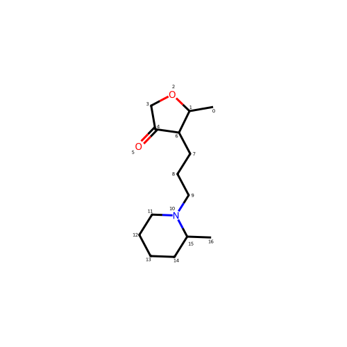 CC1OCC(=O)C1CCCN1CCCCC1C